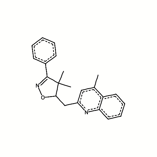 Cc1cc(CC2ON=C(c3ccccc3)C2(C)C)nc2ccccc12